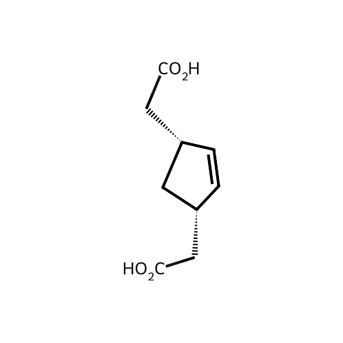 O=C(O)C[C@H]1C=C[C@@H](CC(=O)O)C1